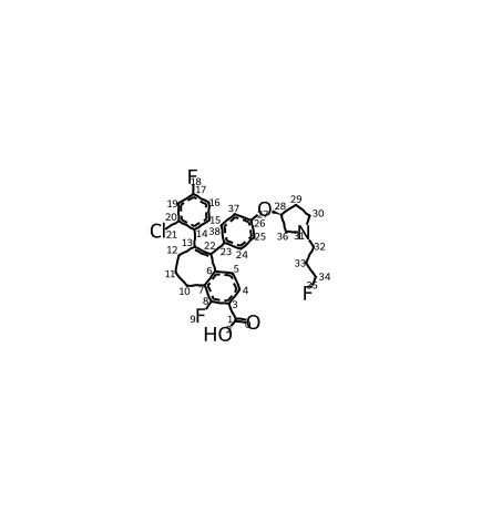 O=C(O)c1ccc2c(c1F)CCCC(c1ccc(F)cc1Cl)=C2c1ccc(O[C@H]2CCN(CCCF)C2)cc1